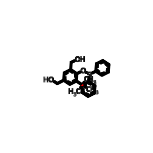 CC(C)(C)c1cc(CO)cc(CO)c1O[SiH](c1ccccc1)c1ccccc1